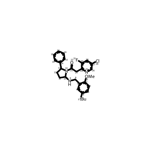 COc1ccc(C(C)(C)C)cc1CNC1CCC(c2ccccc2)N1C(=O)Cc1ncc(Cl)cc1F